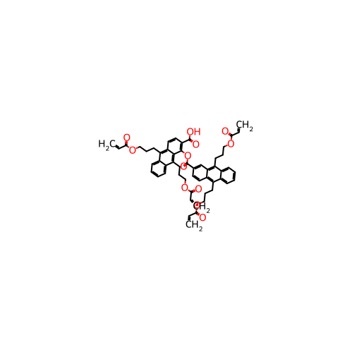 C=CC(=O)OCCCc1c2ccccc2c(CCCOC(=O)C=C)c2cc(C(=O)Oc3c(C(=O)O)ccc4c(CCCOC(=O)C=C)c5ccccc5c(CCCOC(=O)C=C)c34)ccc12